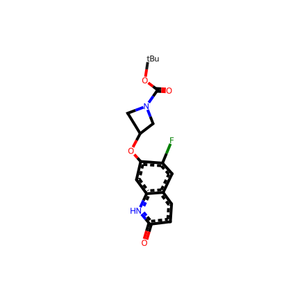 CC(C)(C)OC(=O)N1CC(Oc2cc3[nH]c(=O)ccc3cc2F)C1